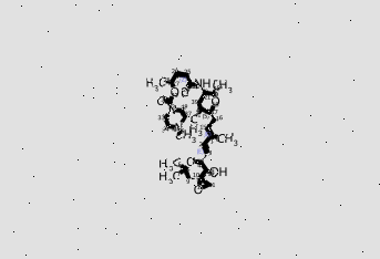 CC(/C=C/[C@H]1OC(C)(C)C[C@@]2(CO2)[C@@H]1O)=C\C[C@@H]1O[C@H](C)[C@H](NC(=O)/C=C\[C@H](C)OC(=O)N2CCN(C)CC2)C[C@@H]1C